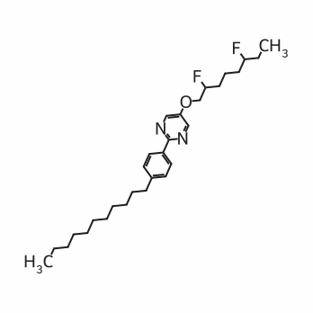 CCCCCCCCCCCc1ccc(-c2ncc(OCC(F)CCCC(F)CC)cn2)cc1